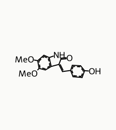 COc1cc2c(cc1OC)C(=Cc1ccc(O)cc1)C(=O)N2